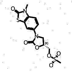 Cn1c(=O)sc2cc(N3C[C@H](COS(C)(=O)=O)OC3=O)ccc21